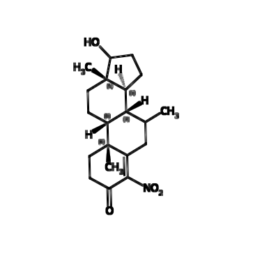 CC1CC2=C([N+](=O)[O-])C(=O)CC[C@]2(C)[C@@H]2CC[C@]3(C)C(O)CC[C@H]3[C@H]12